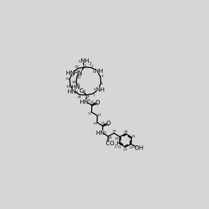 N[C@]12CNCCNC[C@](NC(=O)CCCC(=O)NC(Cc3ccc(O)cc3)C(=O)O)(CNCCNC1)CNCCN2